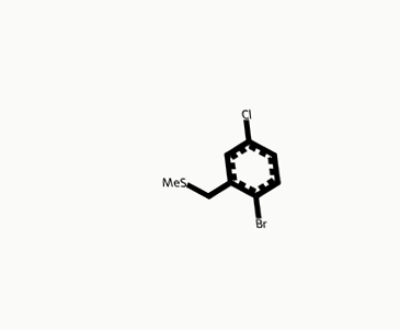 CSCc1cc(Cl)ccc1Br